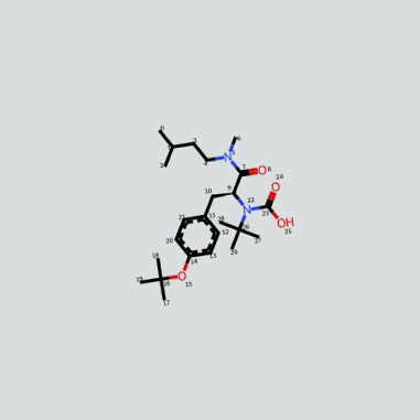 CC(C)CCN(C)C(=O)[C@H](Cc1ccc(OC(C)(C)C)cc1)N(C(=O)O)C(C)(C)C